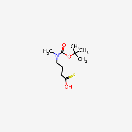 CN(CCCC(O)=S)C(=O)OC(C)(C)C